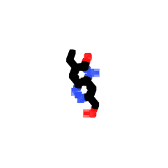 CCc1cc2nnc(CO)cc2[nH]c1=O